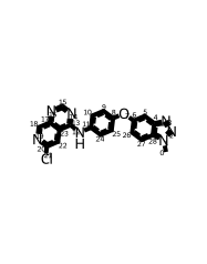 Cn1nnc2cc(Oc3ccc(Nc4ncnc5cnc(Cl)cc45)cc3)ccc21